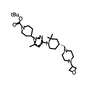 Cc1cc(N2CC[C@@H](CN3CCN(C4COC4)CC3)CC2(C)C)nn1C1CCN(C(=O)OC(C)(C)C)CC1